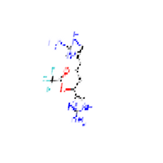 NC1=[N+]C(CCCC(OC(=O)C(F)(F)F)C2=CNC(N)=[N+]2)=CN1